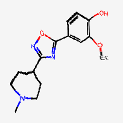 CCOc1cc(-c2nc(C3CCN(C)CC3)no2)ccc1O